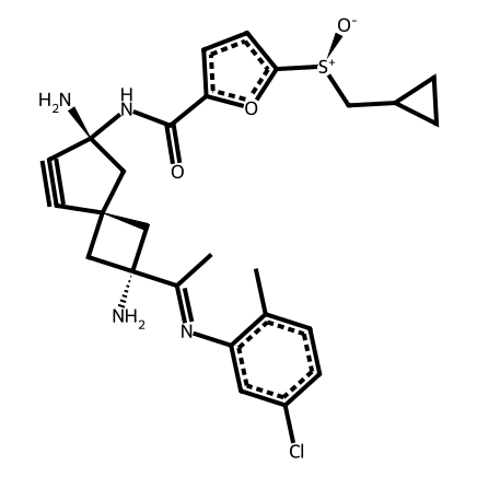 Cc1ccc(Cl)cc1/N=C(\C)[C@]1(N)C[C@]2(C#C[C@](N)(NC(=O)c3ccc([S@@+]([O-])CC4CC4)o3)C2)C1